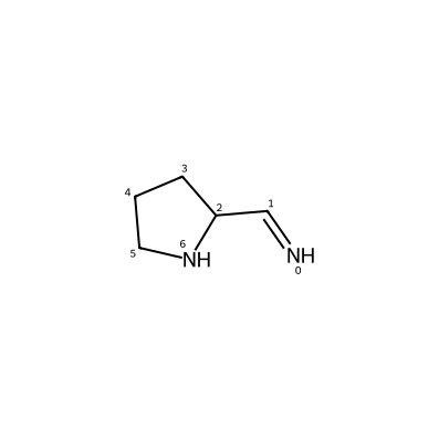 N=CC1CCCN1